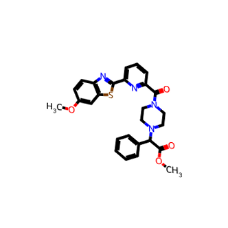 COC(=O)C(c1ccccc1)N1CCN(C(=O)c2cccc(-c3nc4ccc(OC)cc4s3)n2)CC1